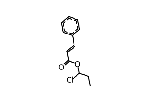 CCC(Cl)OC(=O)C=Cc1ccccc1